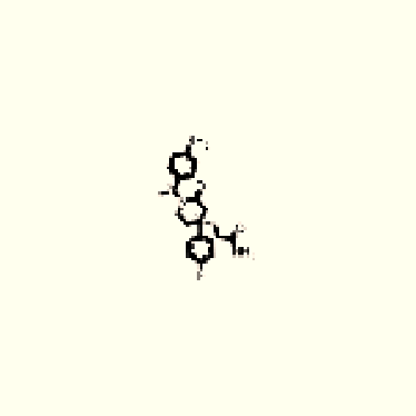 Bc1ccc([C@H](C)N2CC[C@](CCC(N)=O)(c3ccc(F)cc3)CC2=O)cc1